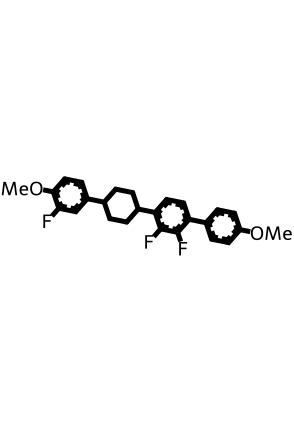 COc1ccc(-c2ccc(C3CCC(c4ccc(OC)c(F)c4)CC3)c(F)c2F)cc1